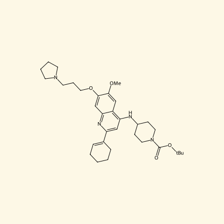 COc1cc2c(NC3CCN(C(=O)OC(C)(C)C)CC3)cc(C3=CCCCC3)nc2cc1OCCCN1CCCC1